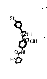 CCc1ccc(-c2c[nH]c(-c3ccc(NC(=O)[C@@H]4CCCN4)cc3)n2)cc1.Cl.Cl